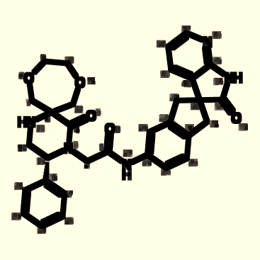 O=C(CN1C(=O)C2(COCCOC2)NC[C@H]1c1ccccc1)Nc1ccc2c(c1)CC1(C2)C(=O)Nc2ncccc21